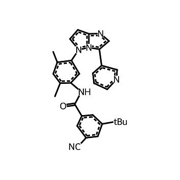 Cc1cc(C)c(-n2ccc3ncc(-c4cccnc4)n32)cc1NC(=O)c1cc(C#N)cc(C(C)(C)C)c1